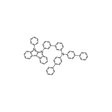 c1ccc(-c2ccc(N(c3ccc(-c4ccccc4)cc3)c3cccc(-c4cccc(-n5c6ccccc6c6c7ccccc7n(-c7ccccc7)c65)c4)c3)cc2)cc1